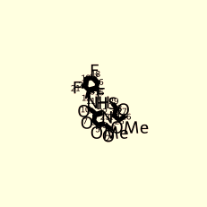 COC(=O)c1c(OC)c(=O)c(C(=O)NCc2c(F)cc(F)cc2F)cn1[C@@H]1CCOC1S